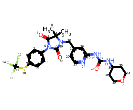 CC1(C)C(=O)N(c2ccc(SC(F)(F)F)cc2)C(=O)N1Cc1ccnc(NC(=O)NC2CCOCC2)c1